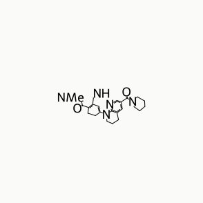 CNC(=O)C1=C(C=N)C=C(N2CCCc3cc(C(=O)N4CCCCC4)cnc32)CC1